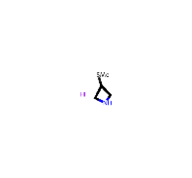 CSC1CNC1.I